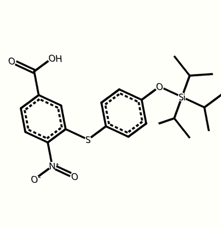 CC(C)[Si](Oc1ccc(Sc2cc(C(=O)O)ccc2[N+](=O)[O-])cc1)(C(C)C)C(C)C